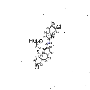 O=C(O)CCSC1c2ccc(Cl)cc2C=Cc2ccc(/C=C/c3ccc4cc(F)c(Cl)cc4n3)cc21